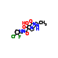 C[C@H]1CN2C(=O)c3c(O)c(=O)c(C(=O)NCc4cccc(Cl)c4F)c4n3C(CC4)C2N1